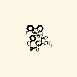 C[C@@H]1CN(C(=O)C2CC2)CCN1C(=O)OC[C@H]1CCC[C@@H](c2cccc(F)c2)N1S(=O)(=O)c1ccc(Cl)cc1